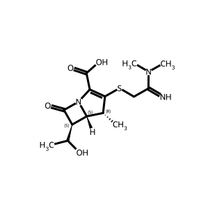 CC(O)[C@H]1C(=O)N2C(C(=O)O)=C(SCC(=N)N(C)C)[C@H](C)[C@H]12